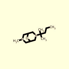 CCCC(C)(C)N1CC2CN(C)CC(C1)O2